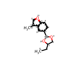 CCC1COB(c2ccc3occ(C)c3c2)O1